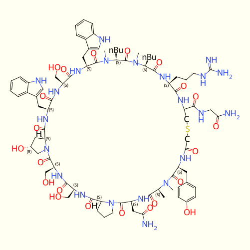 CCCC[C@H]1C(=O)N(C)[C@@H](CCCC)C(=O)N[C@@H](CCCNC(=N)N)C(=O)NC(C(=O)NCC(N)=O)CSCC(=O)N[C@@H](Cc2ccc(O)cc2)C(=O)N(C)[C@@H](C)C(=O)N[C@@H](CC(N)=O)C(=O)N2CCC[C@H]2C(=O)N[C@@H](CO)C(=O)N[C@@H](CO)C(=O)N2C[C@H](O)C[C@H]2C(=O)N[C@@H](Cc2c[nH]c3ccccc23)C(=O)N[C@@H](CO)C(=O)N[C@@H](Cc2c[nH]c3ccccc23)C(=O)N1C